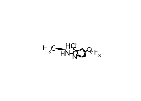 CC#CCNc1nc2ccc(OC(F)(F)F)cc2s1.Cl